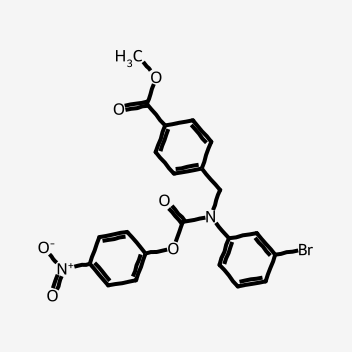 COC(=O)c1ccc(CN(C(=O)Oc2ccc([N+](=O)[O-])cc2)c2cccc(Br)c2)cc1